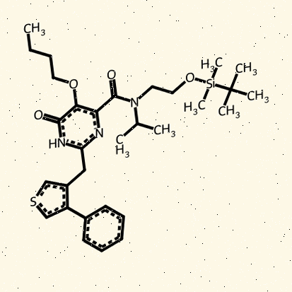 CCCCOc1c(C(=O)N(CCO[Si](C)(C)C(C)(C)C)C(C)C)nc(Cc2cscc2-c2ccccc2)[nH]c1=O